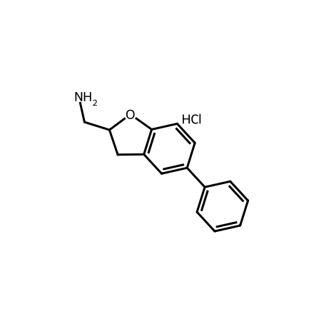 Cl.NCC1Cc2cc(-c3ccccc3)ccc2O1